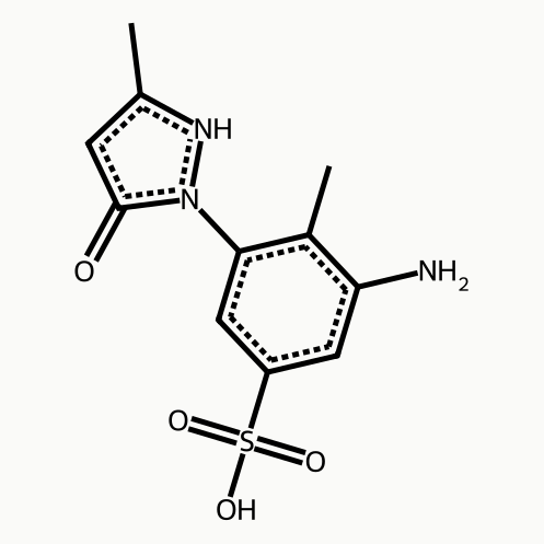 Cc1cc(=O)n(-c2cc(S(=O)(=O)O)cc(N)c2C)[nH]1